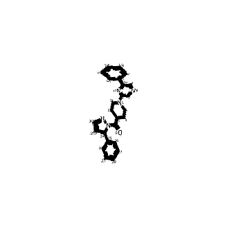 O=C(C1CCN(c2cncc(-c3ccccc3)n2)CC1)N1N=CCC1c1ccccc1